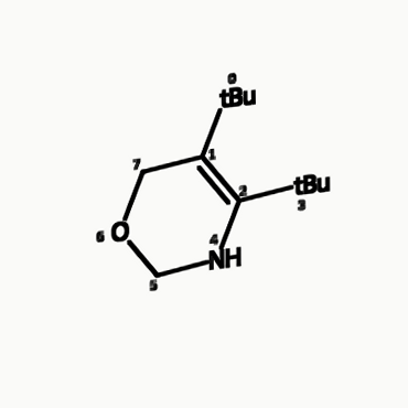 CC(C)(C)C1=C(C(C)(C)C)NCOC1